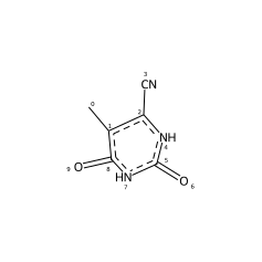 Cc1c(C#N)[nH]c(=O)[nH]c1=O